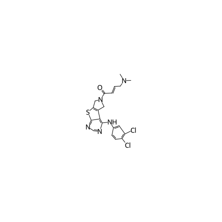 CN(C)CC=CC(=O)N1Cc2sc3ncnc(Nc4ccc(Cl)c(Cl)c4)c3c2C1